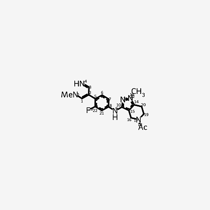 CN/C=C(\C=N)c1ccc(Nc2nn(C)c3c2CN(C(C)=O)CC3)cc1F